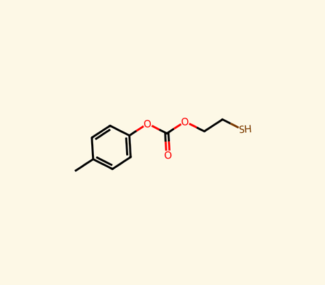 Cc1ccc(OC(=O)OCCS)cc1